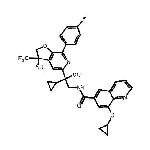 NC1(C(F)(F)F)COc2c1cc(C(O)(CNC(=O)c1cc(OC3CC3)c3ncccc3c1)C1CC1)nc2-c1ccc(F)cc1